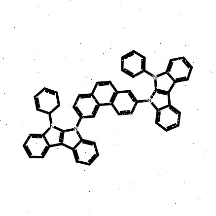 C1=CCC(n2c3ccccc3c3c4ccccc4n(-c4ccc5ccc6cc(-n7c8ccccc8c8c9ccccc9n(-c9ccccc9)c87)ccc6c5c4)c32)C=C1